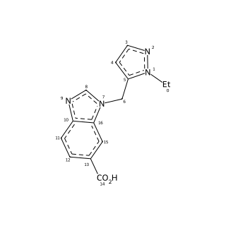 CCn1nccc1Cn1cnc2ccc(C(=O)O)cc21